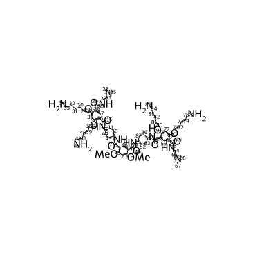 COc1cc(OC)c(C(=O)N[C@H]2CC[C@H](NC(=O)c3cc(C(=O)NCCN(C)C)c(OCCCCCN)cc3OCCCCCN)CC2)cc1C(=O)NC1CCC(NC(=O)c2cc(C(=O)NCCN(C)C)c(OCCCCCN)cc2OCCCCCN)CC1